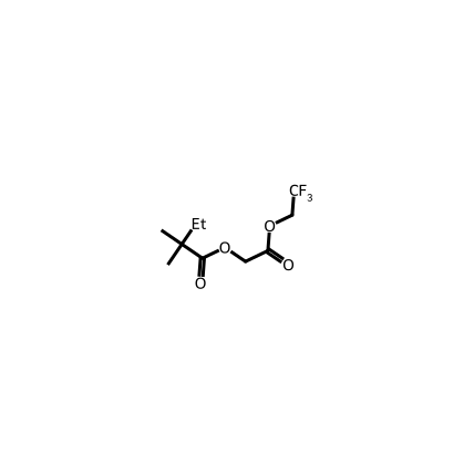 CCC(C)(C)C(=O)OCC(=O)OCC(F)(F)F